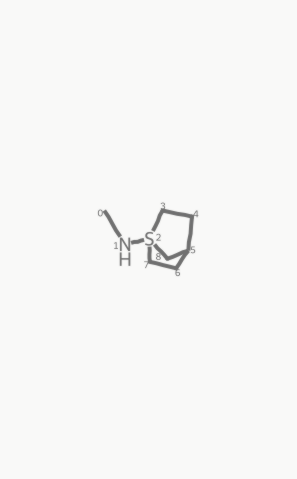 CNS12CCC(CC1)C2